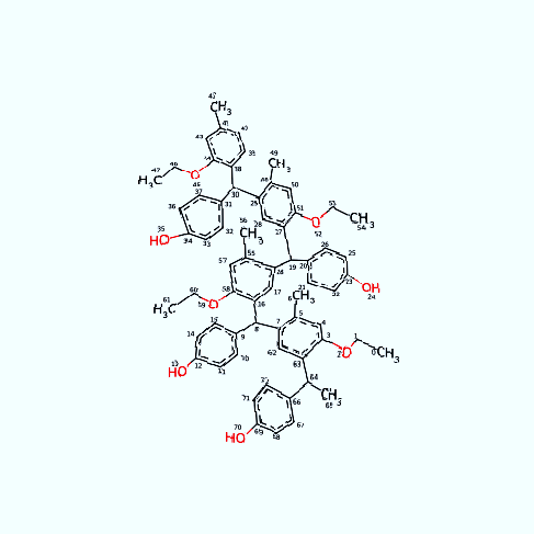 CCOc1cc(C)c(C(c2ccc(O)cc2)c2cc(C(c3ccc(O)cc3)c3cc(C(c4ccc(O)cc4)c4ccc(C)cc4OCC)c(C)cc3OCC)c(C)cc2OCC)cc1C(C)c1ccc(O)cc1